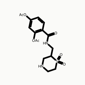 CC(=O)Oc1ccc(C(=O)NCC2CNCCS2(=O)=O)c(OC(C)=O)c1